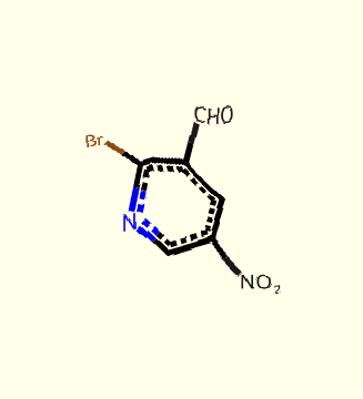 O=Cc1cc([N+](=O)[O-])cnc1Br